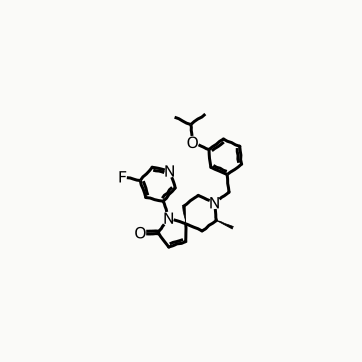 CC(C)Oc1cccc(CN2CC[C@]3(C=CC(=O)N3c3cncc(F)c3)C[C@@H]2C)c1